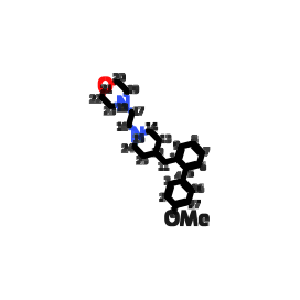 COc1ccc(-c2ccccc2CC2CCN(CCN3CCOCC3)CC2)cc1